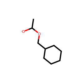 CC([O])OCC1CCCCC1